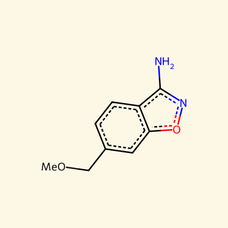 COCc1ccc2c(N)noc2c1